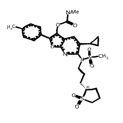 CNC(=O)Oc1c(-c2ccc(C)cc2)oc2nc(N(CCC[C@@H]3CCCS3(=O)=O)S(C)(=O)=O)c(C3CC3)cc12